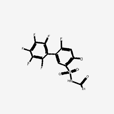 CCC(=O)NS(=O)(=O)c1cc(-c2c(F)c(F)c(F)c(F)c2F)c(F)cc1Cl